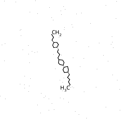 C=CCC[C@H]1CC[C@H](CCCCC2CCC([C@H]3CC[C@H](CCCCCC)CC3)CC2)CC1